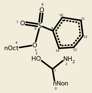 CCCCCCCCCC(N)O.CCCCCCCCOS(=O)(=O)c1ccccc1